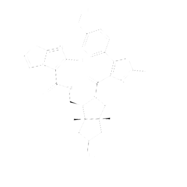 COc1ccc(-c2sc(C)nc2C(=O)N2C[C@@H]3CC(C)C[C@@H]3[C@H]2CNC(=O)c2c(C)nc3sccn23)cc1